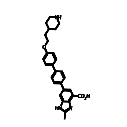 Cc1nc2c(C(=O)O)cc(-c3ccc(-c4ccc(OCCC5CCNCC5)cc4)cc3)cc2[nH]1